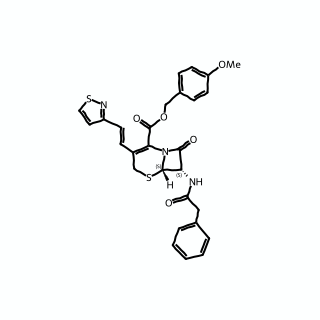 COc1ccc(COC(=O)C2=C(C=Cc3ccsn3)CS[C@H]3[C@@H](NC(=O)Cc4ccccc4)C(=O)N23)cc1